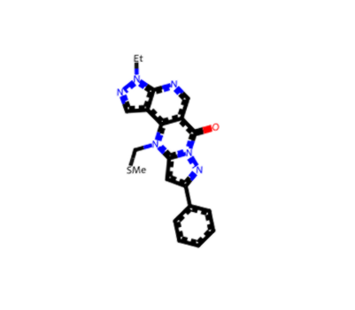 CCn1ncc2c1ncc1c(=O)n3nc(-c4ccccc4)cc3n(CSC)c12